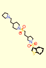 O=S(=O)(CCC1CCN(S(=O)(=O)c2csc3ccccc23)C1)N1CCC(CCN2CCCC2)CC1